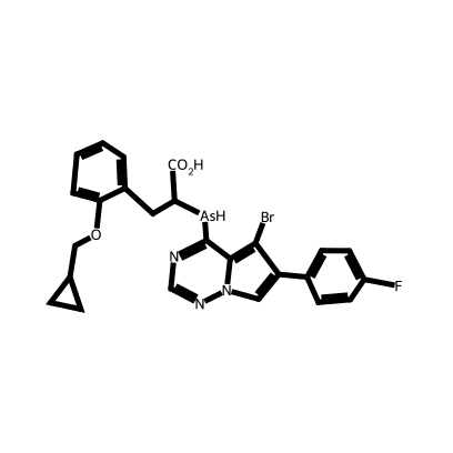 O=C(O)C(Cc1ccccc1OCC1CC1)[AsH]c1ncnn2cc(-c3ccc(F)cc3)c(Br)c12